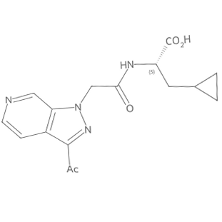 CC(=O)c1nn(CC(=O)N[C@@H](CC2CC2)C(=O)O)c2cnccc12